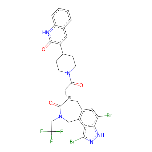 O=C(C[C@@H]1Cc2cc(Br)c3[nH]nc(Br)c3c2CN(CC(F)(F)F)C1=O)N1CCC(c2cc3ccccc3[nH]c2=O)CC1